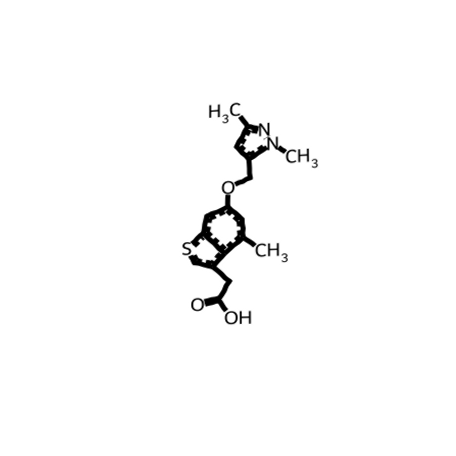 Cc1cc(COc2cc(C)c3c(CC(=O)O)csc3c2)n(C)n1